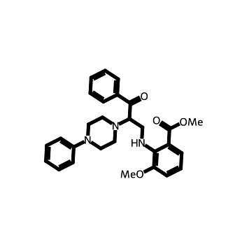 COC(=O)c1cccc(OC)c1NCC(C(=O)c1ccccc1)N1CCN(c2ccccc2)CC1